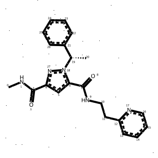 CNC(=O)c1cc(C(=O)NCCc2ccccn2)n([C@@H](C)c2ccccc2)n1